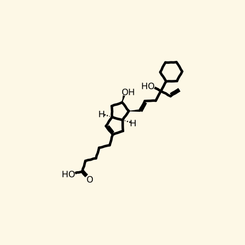 C=CC(O)(C/C=C/[C@H]1[C@H]2CC(CCCCC(=O)O)=C[C@H]2C[C@H]1O)C1CCCCC1